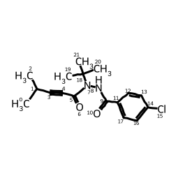 CC(C)C#CC(=O)N(NC(=O)c1ccc(Cl)cc1)C(C)(C)C